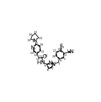 N#Cc1cc(Cn2ccc(NC(=O)Cc3ccc(N4CCCC4)nc3)n2)ccc1F